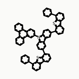 c1ccc(-c2cccc3c2sc2c(-c4ccc5c(c4)c4cc(-c6cccc7c6sc6c(-c8ccccc8)cccc67)ccc4n5-c4ccc5c6ccccc6c6ccccc6c5c4)cccc23)cc1